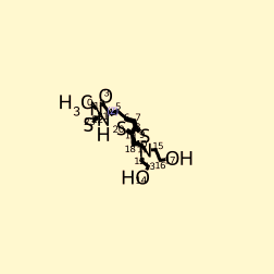 CN1C(=O)/C(=C/c2cc3sc(N(CCO)CCO)cc3s2)NC1=S